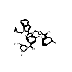 COc1cc(C(=O)N2C[C@H](N)C[C@@H](F)C2)cc2nc(-c3cc4ccccc4n3CC3CC3)n(CC3CN(C(=O)c4cccc(F)c4)C3)c12